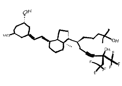 CC(C)(O)CCC[C@@H](CC#CC(O)(C(F)(F)F)C(F)(F)F)[C@H]1CCC2/C(=C/C=C3/CC(O)C[C@H](O)C3)CCC[C@@]21C